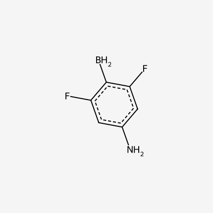 Bc1c(F)cc(N)cc1F